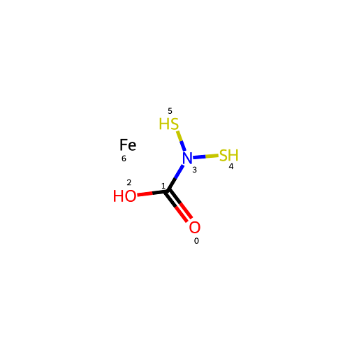 O=C(O)N(S)S.[Fe]